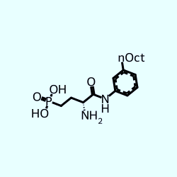 CCCCCCCCc1cccc(NC(=O)[C@H](N)CCP(=O)(O)O)c1